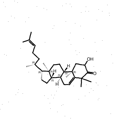 CC(C)=CCC[C@@H](C)[C@H]1CC[C@H]2[C@@H]3CC=C4C(C)(C)C(=O)C(O)C[C@]4(C)[C@H]3CC[C@]12C